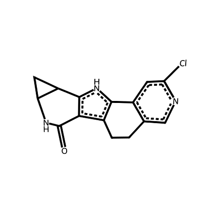 O=C1NC2CC2c2[nH]c3c(c21)CCc1cnc(Cl)cc1-3